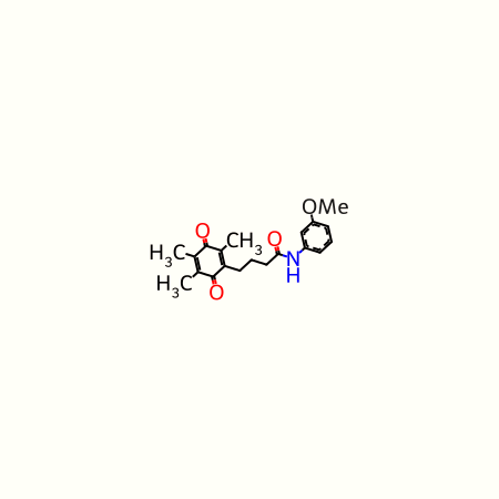 COc1cccc(NC(=O)CCCC2=C(C)C(=O)C(C)=C(C)C2=O)c1